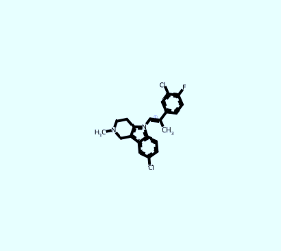 C/C(=C\n1c2c(c3cc(Cl)ccc31)CN(C)CC2)c1ccc(F)c(Cl)c1